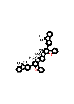 CC1(C)c2ccccc2-c2ccc(-c3cc4c(c5c3oc3ccccc35)-c3ccc5c(c3[Si]4(C)C)[Si](C)(C)c3cc(-c4ccc6c(c4)C(C)(C)c4ccccc4-6)c4c(oc6ccccc64)c3-5)cc21